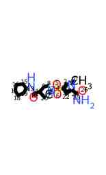 Cn1cc(S(=O)(=O)N2CCC(C(=O)NC3CCCCC3)CC2)cc1C(N)=O